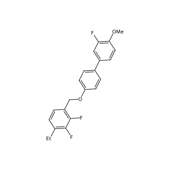 CCc1ccc(COc2ccc(-c3ccc(OC)c(F)c3)cc2)c(F)c1F